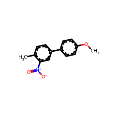 COc1ccc(-c2ccc(C)c([N+](=O)[O-])c2)cc1